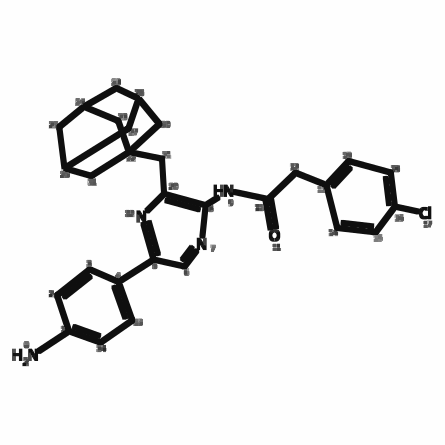 Nc1ccc(-c2cnc(NC(=O)Cc3ccc(Cl)cc3)c(CC34CC5CC(CC(C5)C3)C4)n2)cc1